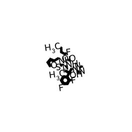 CCCC(F)OC(=O)NN(C(=S)NCc1ccco1)[C@H](C)[C@](O)(Cn1cncn1)c1ccc(F)cc1F